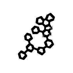 c1ccc(-c2cc(-c3ccccc3)cc(-c3cccc(-c4cccc(-c5nc(-c6ccccc6)c6c(n5)sc5c7ccccc7c7ccccc7c56)c4)c3)c2)cc1